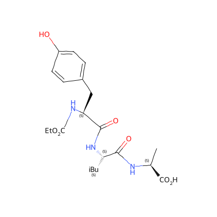 CCOC(=O)N[C@@H](Cc1ccc(O)cc1)C(=O)N[C@H](C(=O)N[C@@H](C)C(=O)O)[C@@H](C)CC